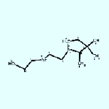 CCC(C)(O)C(C)NCCNCCO